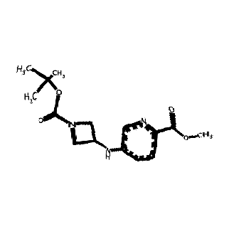 COC(=O)c1ccc(NC2CN(C(=O)OC(C)(C)C)C2)cn1